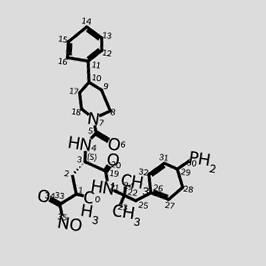 CC(C[C@H](NC(=O)N1CCC(c2ccccc2)CC1)C(=O)NC(C)(C)CC1=CCC(P)C=C1)C(=O)N=O